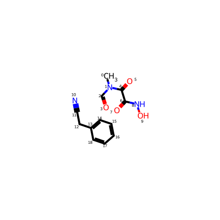 CN(C=O)C(=O)C(=O)NO.N#CCc1ccccc1